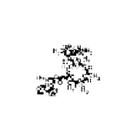 CCN(C(=O)C(C)OC(=O)C(C)OC(=O)C(C)OC(=O)C(C)OC(=O)C(C)OC(=O)CCC(=O)OC(CNC(C)(C)C)COc1nsnc1N1CCOCC1)[C@@H]1C[C@@H](C)S(=O)(=O)c2sc(S(N)(=O)=O)cc21